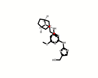 COc1cc(N[C@@H]2C[C@H]3CC[C@@H](C2)N3CCC#N)nc(Nc2ncc(CO)s2)n1